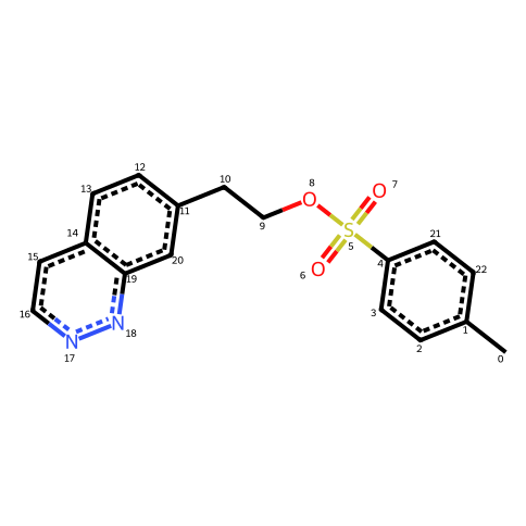 Cc1ccc(S(=O)(=O)OCCc2ccc3ccnnc3c2)cc1